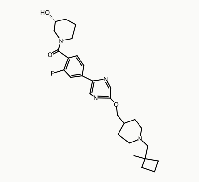 CC1(CN2CCC(COc3cnc(-c4ccc(C(=O)N5CCC[C@@H](O)C5)c(F)c4)cn3)CC2)CCC1